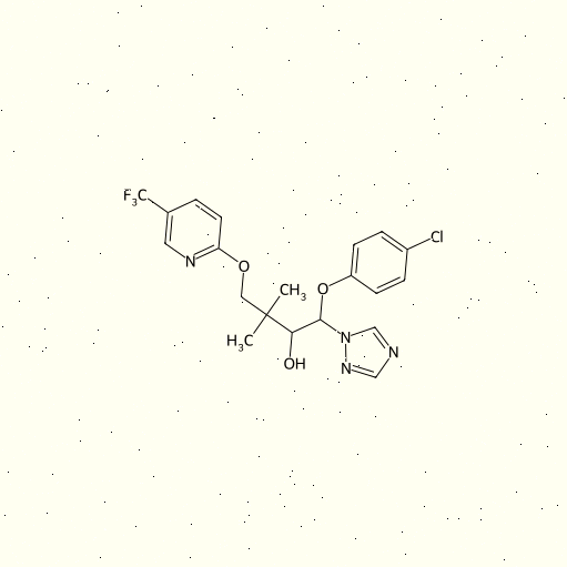 CC(C)(COc1ccc(C(F)(F)F)cn1)C(O)C(Oc1ccc(Cl)cc1)n1cncn1